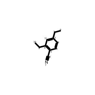 CCc1[c]cc(C#N)c(CC)c1